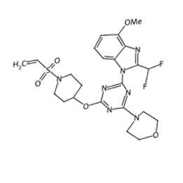 C=CS(=O)(=O)N1CCC(Oc2nc(N3CCOCC3)nc(-n3c(C(F)F)nc4c(OC)cccc43)n2)CC1